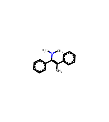 CN(C)C(=C([SiH3])c1ccccc1)c1ccccc1